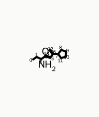 CC[C@@H](N)c1cc(C2CCCC2)co1